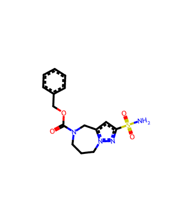 NS(=O)(=O)c1cc2n(n1)CCCN(C(=O)OCc1ccccc1)C2